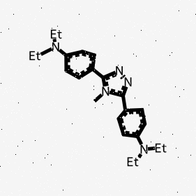 CCN(CC)c1ccc(-c2nnc(-c3ccc(N(CC)CC)cc3)n2C)cc1